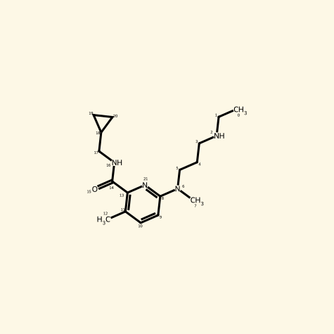 CCNCCCN(C)c1ccc(C)c(C(=O)NCC2CC2)n1